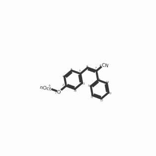 CCCCCCCCOc1ccc(C=C(C#N)c2ccccc2)cc1